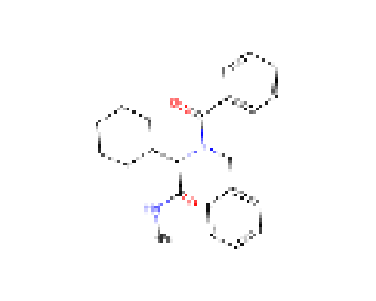 CC(C)(C)NC(=O)[C@H](C1CCCCC1)N(Cc1ccccc1)C(=O)c1ccccc1